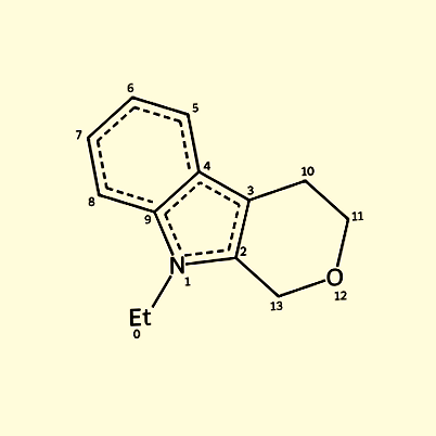 CCn1c2c(c3ccccc31)CCOC2